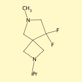 CC(C)N1CC2(CN(C)CC2(F)F)C1